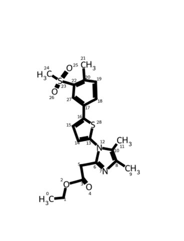 CCOC(=O)Cc1nc(C)c(C)n1-c1ccc(-c2ccc(C)c(S(C)(=O)=O)c2)s1